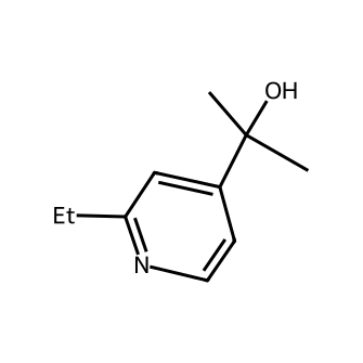 CCc1cc(C(C)(C)O)ccn1